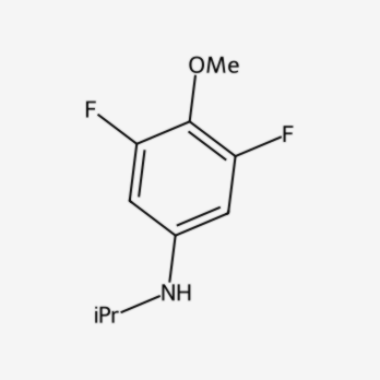 COc1c(F)cc(NC(C)C)cc1F